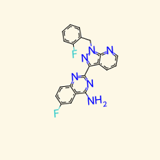 Nc1nc(-c2nn(Cc3ccccc3F)c3ncccc23)nc2ccc(F)cc12